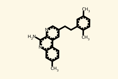 Cc1ccc(C)c(CCc2cnc3c(N)nc4cc(C)ccc4c3c2)c1